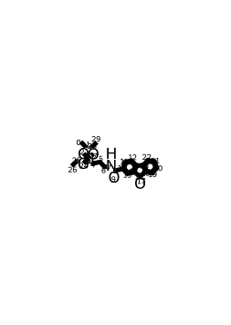 CCO[Si](CCCNC(=O)c1ccc2c(c1)C(=O)c1ccccc1-2)(OCC)OCC